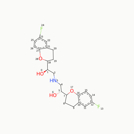 O[C@H](CNC[C@@H](O)C1CCc2cc(F)ccc2O1)C1CCc2cc(F)ccc2O1